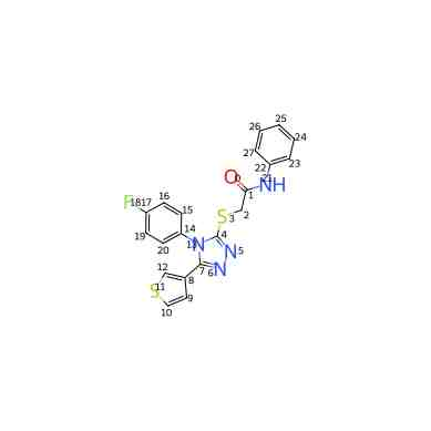 O=C(CSc1nnc(-c2ccsc2)n1-c1ccc(F)cc1)Nc1ccccc1